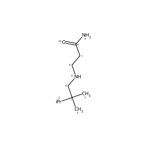 CC(C)C(C)(C)CNCCC(N)=O